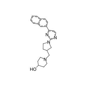 OC1CCN(CC2CCN(c3nccc(-c4ccc5ccccc5c4)n3)C2)CC1